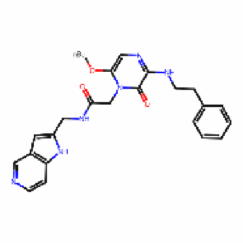 CCCCOc1cnc(NCCc2ccccc2)c(=O)n1CC(=O)NCc1cc2cnccc2[nH]1